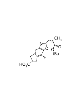 CN(Cc1nc2cc3c(c(F)c2o1)CC(C(=O)O)C3)C(=O)OC(C)(C)C